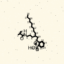 C=C(C)C(=O)NCCCC(CCCCCCCCC)CCc1ccccc1S(=O)(=O)O